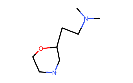 CN(C)CCC1C[N]CCO1